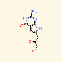 Nc1nc2[nH]c(CC(=O)CO)cc2c(=O)[nH]1